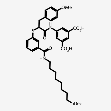 CCCCCCCCCCCCCCCCCCNC(=O)c1cccc(SC(Cc2ccc(OC)cc2)C(=O)Nc2cc(C(=O)O)cc(C(=O)O)c2)c1